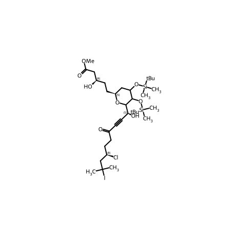 COC(=O)C[C@H](O)CC[C@H]1CC(O[Si](C)(C)C(C)(C)C)C(O[Si](C)(C)C(C)(C)C)C([C@@H](O)C#CC(=O)CC[C@@H](Cl)CC(C)(C)I)O1